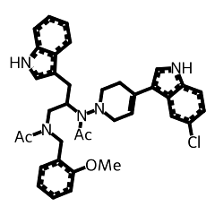 COc1ccccc1CN(CC(Cc1c[nH]c2ccccc12)N(C(C)=O)N1CC=C(c2c[nH]c3ccc(Cl)cc23)CC1)C(C)=O